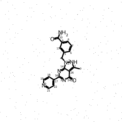 Cc1[nH]n(Cc2cccc(C(N)=O)c2)c2nc(-c3ccncc3)nc(=O)c1-2